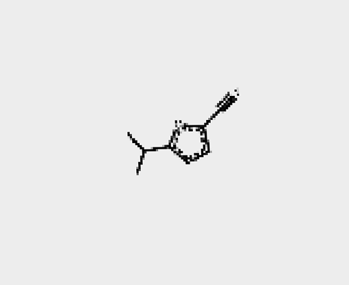 CC(C)c1ccc(C#N)o1